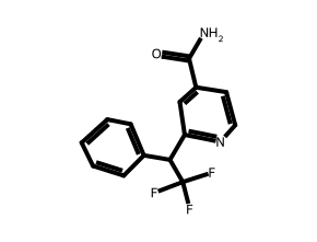 NC(=O)c1ccnc(C(c2ccccc2)C(F)(F)F)c1